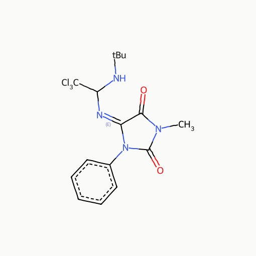 CN1C(=O)/C(=N\C(NC(C)(C)C)C(Cl)(Cl)Cl)N(c2ccccc2)C1=O